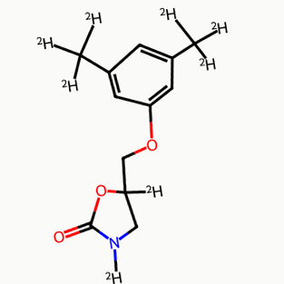 [2H]N1CC([2H])(COc2cc(C([2H])([2H])[2H])cc(C([2H])([2H])[2H])c2)OC1=O